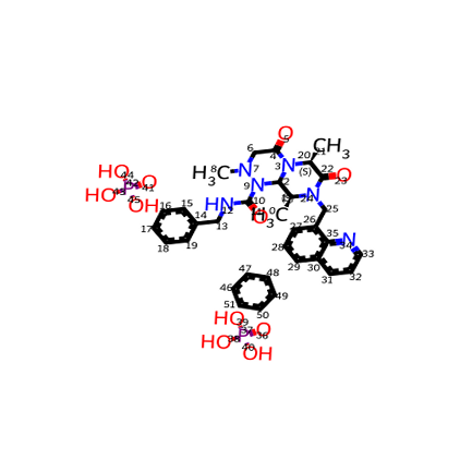 C[C@H]1C2N(C(=O)CN(C)N2C(=O)NCc2ccccc2)[C@@H](C)C(=O)N1Cc1cccc2cccnc12.O=P(O)(O)O.O=P(O)(O)O.c1ccccc1